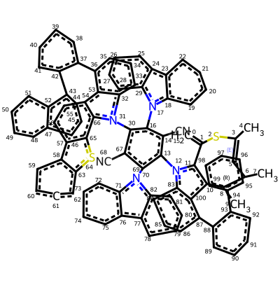 C=C1S/C(C)=C/C(C)[C@@H](C)c2c1n(-c1c(C#N)c(-n3c4ccccc4c4ccccc43)c(-n3c4cccc(-c5ccccc5-c5cccc6ccccc56)c4c4ccc5c6ccccc6sc5c43)c(C#N)c1-n1c3ccccc3c3ccccc31)c1cccc(-c3ccccc3-c3ccccc3)c21